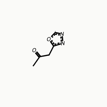 CC(=O)Cc1nn[c]o1